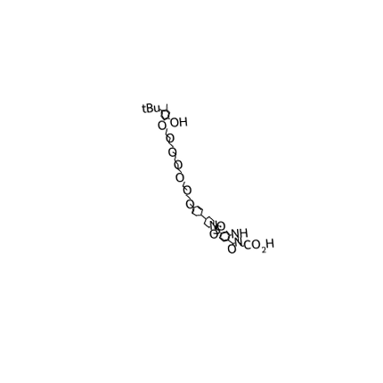 Cc1cc(O)c(OCCOCCOCCOCCOCCOCCOC2=CCC(C3CCN(S(=O)(=O)c4ccc5c(c4)NCN(CC(=O)O)C5=O)CC3)C=C2)cc1C(C)(C)C